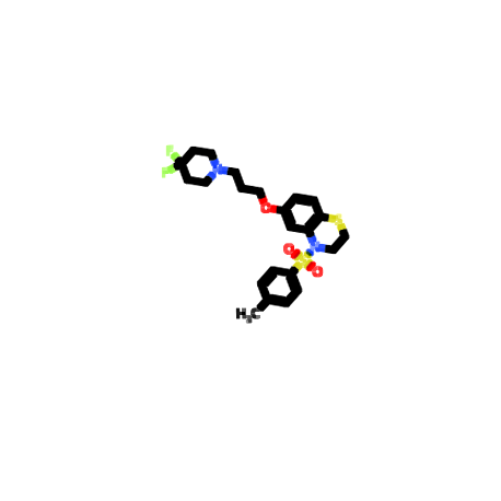 Cc1ccc(S(=O)(=O)N2CCSc3ccc(OCCCN4CCC(F)(F)CC4)cc32)cc1